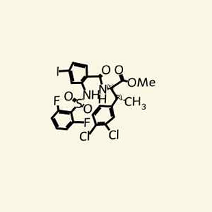 COC(=O)[C@@H](NC(=O)c1ccc(I)cc1NS(=O)(=O)c1c(F)cccc1F)[C@H](C)c1ccc(Cl)c(Cl)c1